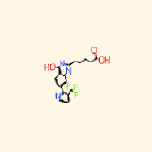 O=C(O)CCCCc1nc(O)c2ccc(-c3ncccc3C(F)(F)F)cc2n1